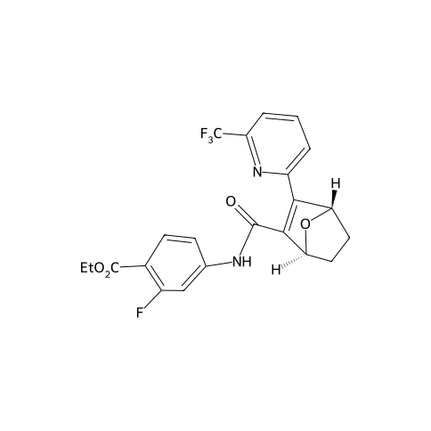 CCOC(=O)c1ccc(NC(=O)C2=C(c3cccc(C(F)(F)F)n3)[C@@H]3CC[C@@H]2O3)cc1F